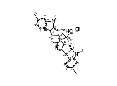 Cc1ccc2c(c1)N(C)C1=C[CH]([Ti]([CH]3C=C4C(C3)c3ccc(C)cc3N4C)([SiH](C)C)[C](C)(C)C)CC12.Cl.Cl